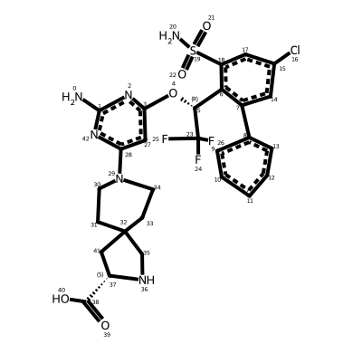 Nc1nc(O[C@H](c2c(-c3ccccc3)cc(Cl)cc2S(N)(=O)=O)C(F)(F)F)cc(N2CCC3(CC2)CN[C@H](C(=O)O)C3)n1